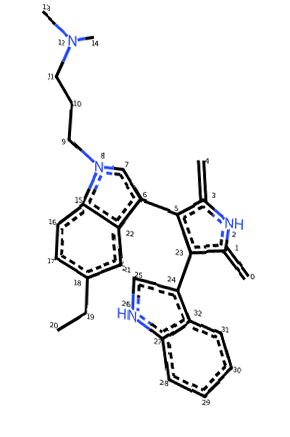 C=c1[nH]c(=C)c(-c2cn(CCCN(C)C)c3ccc(CC)cc23)c1-c1c[nH]c2ccccc12